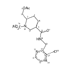 CC(=O)OCC1CCC(C(=O)NCc2nccnc2Cl)CN1C(=O)O